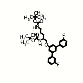 CC(C)(C)OC(=O)NCCCC(COc1cc(-c2cccc(F)c2)cc(-c2cccc(F)c2)c1)NC(=O)OC(C)(C)C